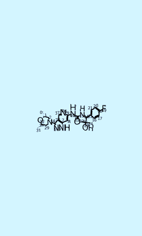 C[C@@H]1CN(c2n[nH]c3cc(NC(=O)NC(c4ccc(F)cc4)C(C)(C)O)ncc23)C[C@H](C)O1